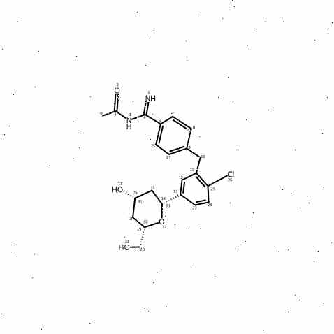 CC(=O)NC(=N)c1ccc(Cc2cc([C@H]3C[C@@H](O)C[C@@H](CO)O3)ccc2Cl)cc1